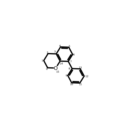 [CH]1CCc2cccc(-c3ccccc3)c2O1